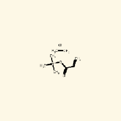 C=CC(=O)O[N+](C)(C)C.CC.[Cl-]